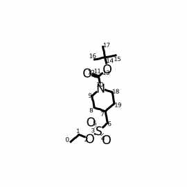 CCOS(=O)(=O)CC1CCN(C(=O)OC(C)(C)C)CC1